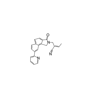 C/C=C(/C#N)CN1Cc2c(ccc3ccc(-c4ccccn4)cc23)C1=O